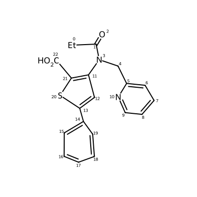 CCC(=O)N(Cc1ccccn1)c1cc(-c2ccccc2)sc1C(=O)O